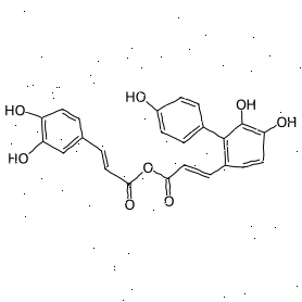 O=C(C=Cc1ccc(O)c(O)c1)OC(=O)C=Cc1ccc(O)c(O)c1-c1ccc(O)cc1